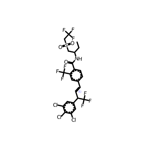 CCC(CS(=O)(=O)CC(F)(F)F)NC(=O)c1ccc(/C=C/C(c2cc(Cl)c(Cl)c(Cl)c2)C(F)(F)F)cc1C(F)(F)F